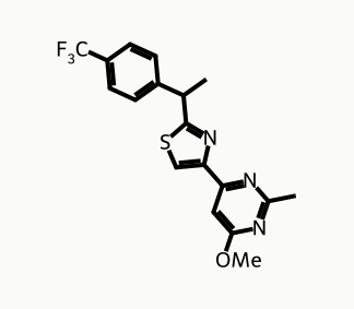 COc1cc(-c2csc(C(C)c3ccc(C(F)(F)F)cc3)n2)nc(C)n1